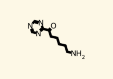 NCCCCCC(=O)c1ncncn1